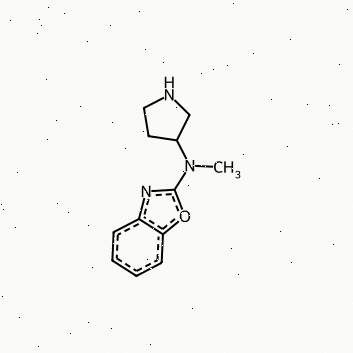 CN(c1nc2ccccc2o1)C1CCNC1